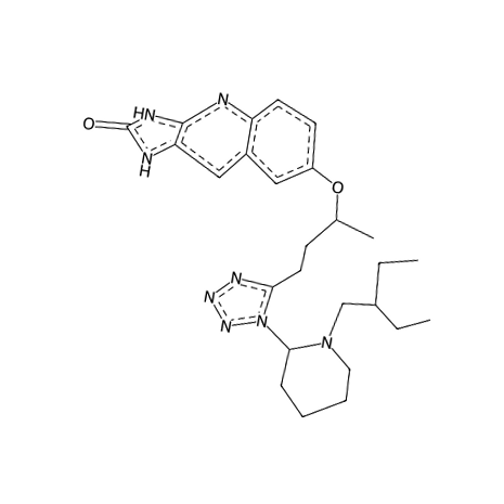 CCC(CC)CN1CCCCC1n1nnnc1CCC(C)Oc1ccc2nc3[nH]c(=O)[nH]c3cc2c1